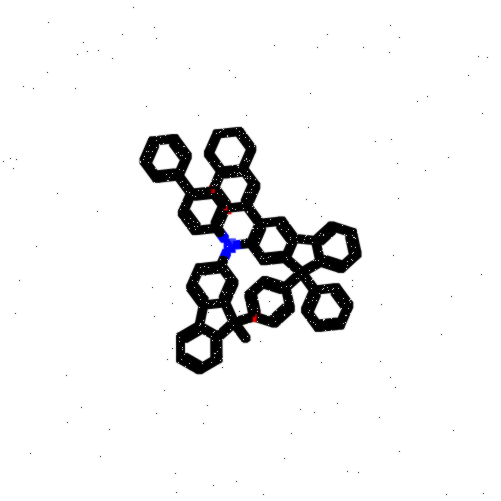 CC1(C)c2ccccc2-c2ccc(N(c3ccc(-c4ccccc4)cc3)c3cc4c(cc3-c3ccc5c(c3)CCCC5)-c3ccccc3C4(c3ccccc3)c3ccccc3)cc21